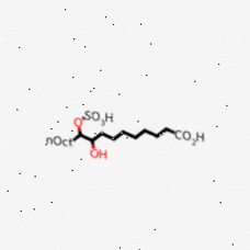 CCCCCCCCC(OS(=O)(=O)O)C(O)CCCCCCCC(=O)O